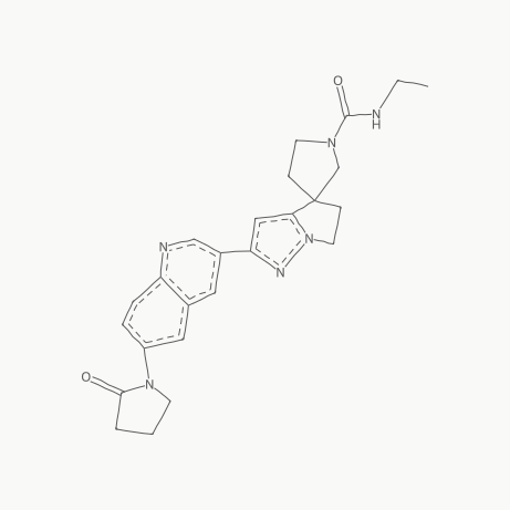 CCNC(=O)N1CCC2(CCn3nc(-c4cnc5ccc(N6CCCC6=O)cc5c4)cc32)C1